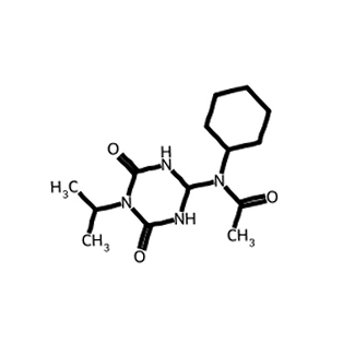 CC(=O)N(C1CCCCC1)C1NC(=O)N(C(C)C)C(=O)N1